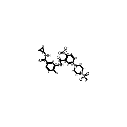 Cc1ccc(C(=O)NC2CC2)cc1NC(=O)c1cc(N2CCN(S(C)(=O)=O)CC2)ccc1[N+](=O)[O-]